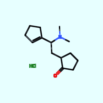 CN(C)C(CC1CCCC1=O)C1=CCCC1.Cl